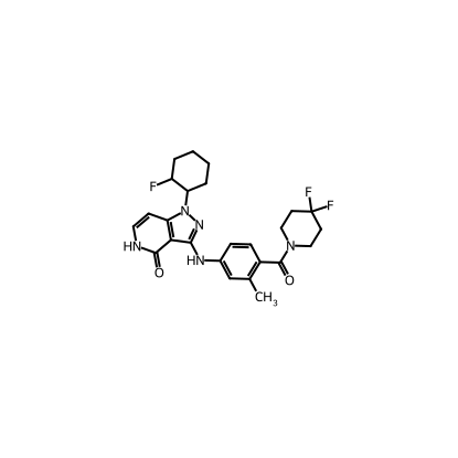 Cc1cc(Nc2nn(C3CCCCC3F)c3cc[nH]c(=O)c23)ccc1C(=O)N1CCC(F)(F)CC1